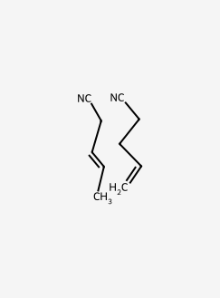 C=CCCC#N.CC=CCC#N